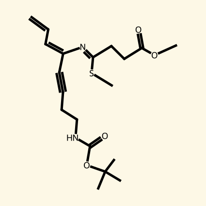 C=CC=C(C#CCCNC(=O)OC(C)(C)C)N=C(CCC(=O)OC)SC